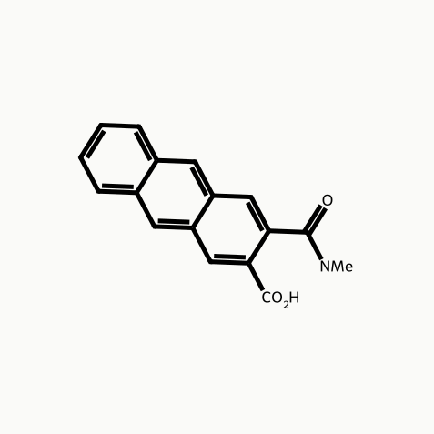 CNC(=O)c1cc2cc3ccccc3cc2cc1C(=O)O